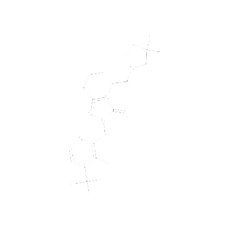 O=C(C1CCCc2nn(Cc3nccc(C(F)(F)F)c3Cl)c(=O)n21)N1CCC(F)(F)C1